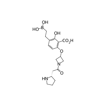 O=C(O)c1c(OC2CN(C(=O)C[C@@H]3CCCN3)C2)ccc(CCB(O)O)c1O